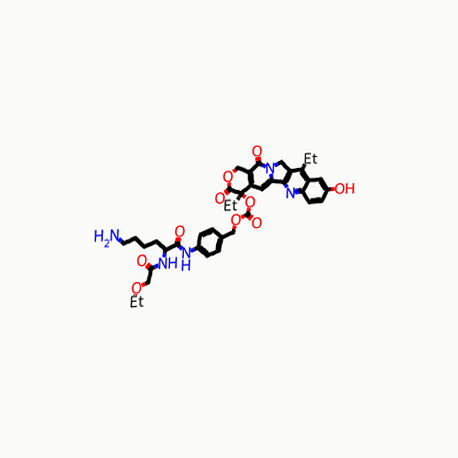 CCOCC(=O)NC(CCCCN)C(=O)Nc1ccc(COC(=O)OC2(CC)C(=O)OCc3c2cc2n(c3=O)Cc3c-2nc2ccc(O)cc2c3CC)cc1